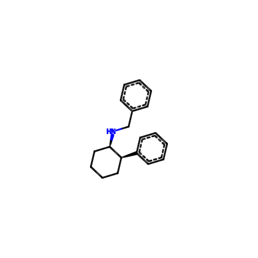 c1ccc(CN[C@@H]2CCCC[C@@H]2c2ccccc2)cc1